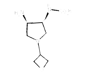 N[C@@H]1CN(C2COC2)C[C@@H]1NC(=O)O